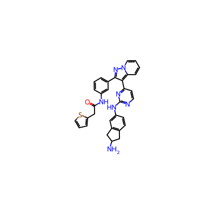 NC1Cc2ccc(Nc3nccc(-c4c(-c5cccc(NC(=O)Cc6cccs6)c5)nn5ccccc45)n3)cc2C1